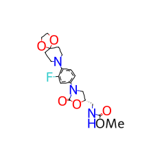 COC(=O)NC[C@H]1CN(c2ccc(N3CCC4(CC3)OCCO4)c(F)c2)C(=O)O1